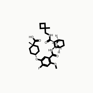 COc1cc(F)c(O[C@H]2CC[C@@](C)(C(=O)O)CC2)cc1C(=O)N[C@H]1[C@@H](C(=O)NCC2(C)CCC2)[C@H]2CC[C@@H]1O2